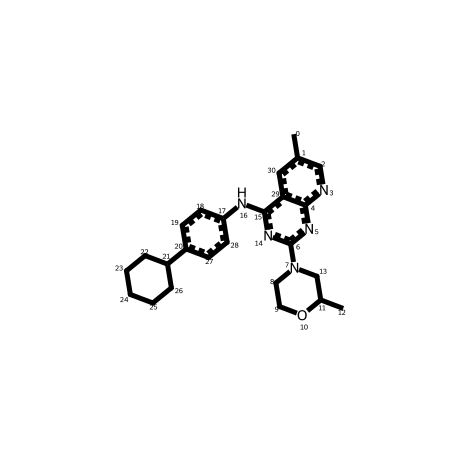 Cc1cnc2nc(N3CCOC(C)C3)nc(Nc3ccc(C4CCCCC4)cc3)c2c1